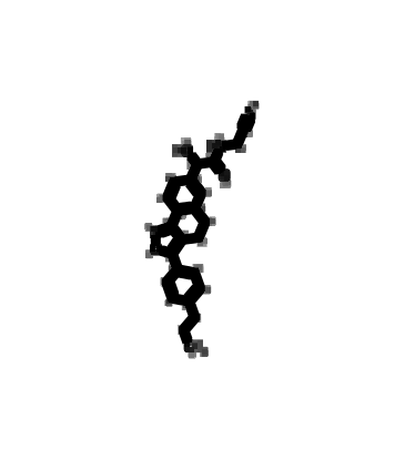 CCCc1ccc(-c2onc3c2CCc2cc(C(O)C(=O)NCC#N)ccc2-3)cc1